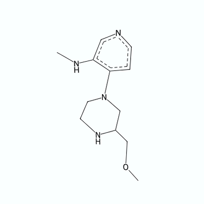 CNc1cnccc1N1CCNC(COC)C1